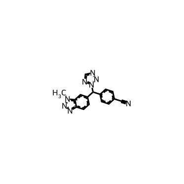 Cn1nnc2ccc(C(c3ccc(C#N)cc3)n3ncnn3)cc21